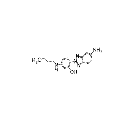 CCCCNc1ccc(-n2nc3ccc(N)cc3n2)c(O)c1